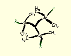 C[Si](C)(F)C([Si](C)(C)F)[Si](C)(C)F